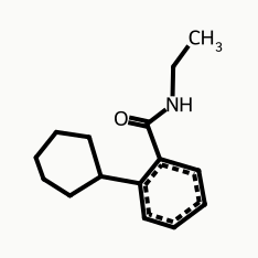 CCNC(=O)c1ccccc1C1CCCCC1